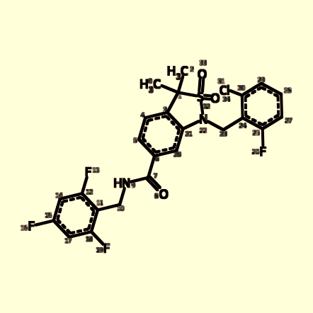 CC1(C)c2ccc(C(=O)NCc3c(F)cc(F)cc3F)cc2N(Cc2c(F)cccc2Cl)S1(=O)=O